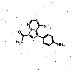 CC(=O)c1cc(-c2ccc(N)cc2)c2c(N)ncnn12